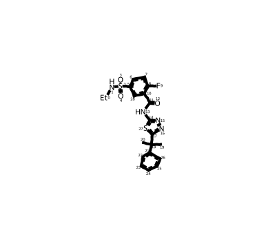 CCNS(=O)(=O)c1ccc(F)c(C(=O)Nc2nnc(C(C)(C)c3ccccc3)s2)c1